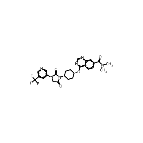 CN(C)C(=O)c1ccc2c(O[C@H]3CC[C@H](N4C(=O)CN(c5cncc(C(F)(F)F)c5)C4=O)CC3)ncnc2c1